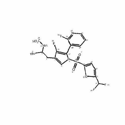 CC(C)(C)C(Cc1cn(S(=O)(=O)c2ccc(C(F)F)o2)c(-c2cccnc2F)c1F)NC(=O)O